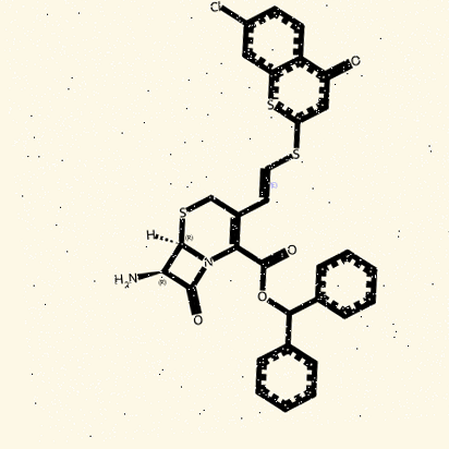 N[C@@H]1C(=O)N2C(C(=O)OC(c3ccccc3)c3ccccc3)=C(/C=C/Sc3cc(=O)c4ccc(Cl)cc4s3)CS[C@H]12